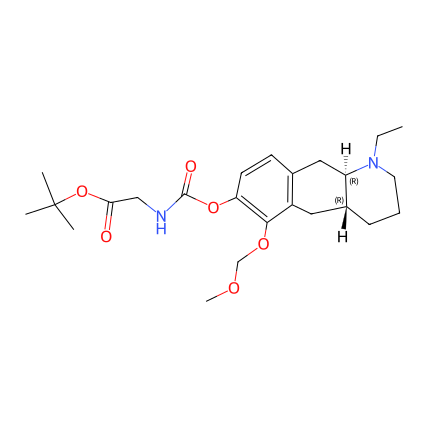 CCN1CCC[C@@H]2Cc3c(ccc(OC(=O)NCC(=O)OC(C)(C)C)c3OCOC)C[C@H]21